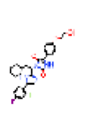 O=C1N[C@H](c2ccc(OCCO)cc2)C(=O)N1C(CC1CCCCC1)c1ncc(-c2ccc(I)cc2F)[nH]1